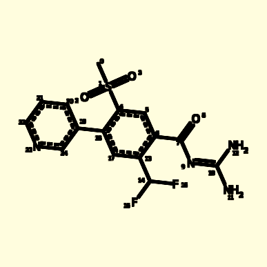 CS(=O)(=O)c1cc(C(=O)N=C(N)N)c(C(F)F)cc1-c1cccnc1